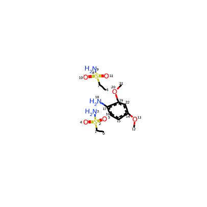 CCS(N)(=O)=O.CCS(N)(=O)=O.COc1ccc(N)c(OC)c1